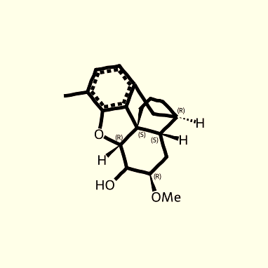 CO[C@@H]1C[C@H]2[C@@H]3CCC[C@@]24c2c(ccc(C)c2O[C@H]4C1O)C3